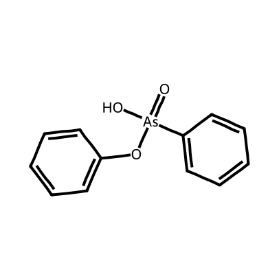 O=[As](O)(Oc1ccccc1)c1ccccc1